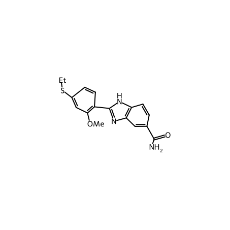 CCSc1ccc(-c2nc3cc(C(N)=O)ccc3[nH]2)c(OC)c1